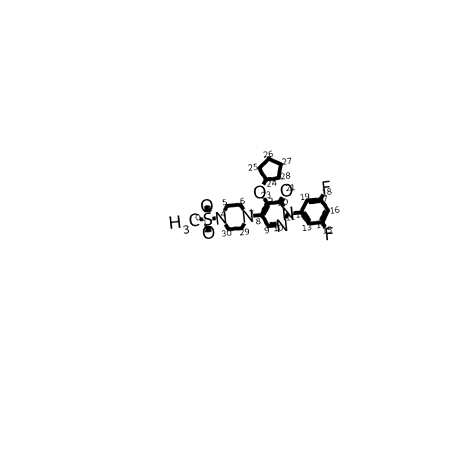 CS(=O)(=O)N1CCN(c2cnn(-c3cc(F)cc(F)c3)c(=O)c2OC2CCCC2)CC1